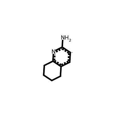 Nc1[c]cc2c(n1)CCCC2